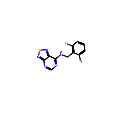 Fc1cccc(Cl)c1CNc1ncnc2nsnc12